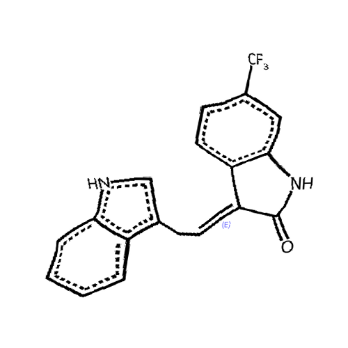 O=C1Nc2cc(C(F)(F)F)ccc2/C1=C\c1c[nH]c2ccccc12